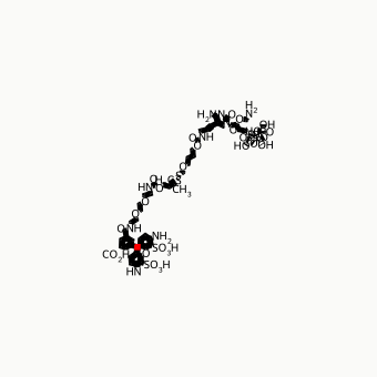 CC(C)(CCOC(=O)NCCOCCOCCNC(=O)c1ccc(C(=O)O)c(-c2c3ccc(=N)c(S(=O)(=O)O)c-3oc3c(S(=O)(=O)O)c(N)ccc23)c1)SSCOCCCCOC(=O)NCC#Cc1cn(C2OC(COP(=O)(O)OP(=O)(O)OP(=O)(O)O)C2OCN)c(=O)nc1N